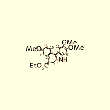 CCOC(=O)CCc1[nH]c2cc(OC)c(OC)cc2c1-c1ccc(OC)cc1